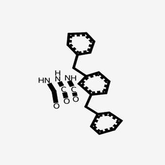 N=C=O.N=C=O.N=C=O.c1ccc(Cc2cccc(Cc3ccccc3)c2)cc1